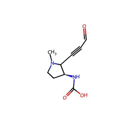 CN1CC[C@H](NC(=O)O)C1C#CC=O